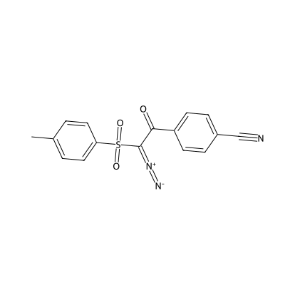 Cc1ccc(S(=O)(=O)C(=[N+]=[N-])C(=O)c2ccc(C#N)cc2)cc1